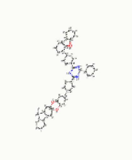 CC1(C)c2ccccc2-c2cc3c(cc21)Oc1cc(-c2ccc(-c4nc(-c5ccccc5)nc(-c5ccc(-c6cccc7c6oc6ccccc67)cc5)n4)cc2)ccc1O3